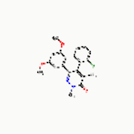 COc1cc(OC)cc(-c2nn(C)c(=O)c(C)c2-c2c(F)cccc2F)c1